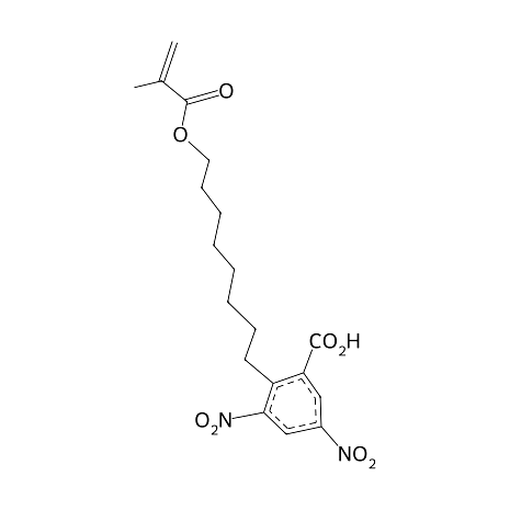 C=C(C)C(=O)OCCCCCCCCc1c(C(=O)O)cc([N+](=O)[O-])cc1[N+](=O)[O-]